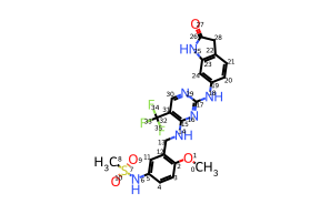 COc1ccc(NS(C)(=O)=O)cc1CNc1nc(Nc2ccc3c(c2)NC(=O)C3)ncc1C(F)(F)F